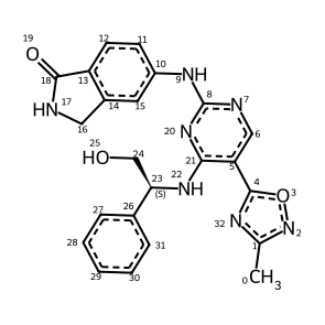 Cc1noc(-c2cnc(Nc3ccc4c(c3)CNC4=O)nc2N[C@H](CO)c2ccccc2)n1